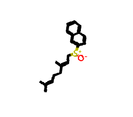 CC(C)=CCC/C(C)=C/C[S+]([O-])c1ccc2ccccc2c1